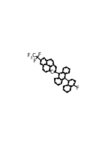 Fc1ccc(-c2c3ccccc3c(-c3cc4ccc5cc(C(F)(F)C(F)(F)F)cc6ccc(c3)c4c56)c3ccccc23)c2ccccc12